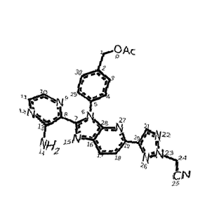 CC(=O)OCc1ccc(-n2c(-c3nccnc3N)nc3ccc(-c4cnn(CC#N)n4)nc32)cc1